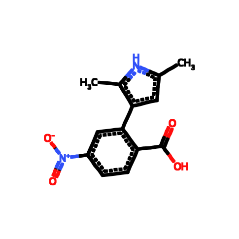 Cc1cc(-c2cc([N+](=O)[O-])ccc2C(=O)O)c(C)[nH]1